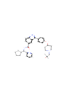 CC(C)(O)CN1CCC(Oc2ccc(-c3n[nH]c4ccc(C(=O)NC(c5ccccn5)C5CCCC5)cc34)cc2)CC1